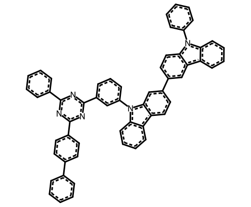 c1ccc(-c2ccc(-c3nc(-c4ccccc4)nc(-c4cccc(-n5c6ccccc6c6ccc(-c7ccc8c(c7)c7ccccc7n8-c7ccccc7)cc65)c4)n3)cc2)cc1